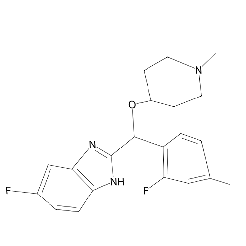 Cc1ccc(C(OC2CCN(C)CC2)c2nc3cc(F)ccc3[nH]2)c(F)c1